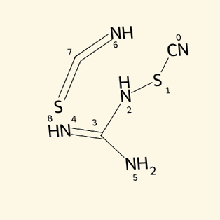 N#CSNC(=N)N.N=C=S